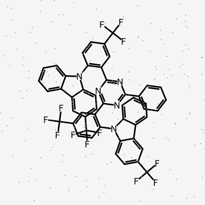 FC(F)(F)c1ccc(-n2c3ccccc3c3cc(C(F)(F)F)ccc32)c(-c2nc(-c3ccccc3)nc(-c3cc(C(F)(F)F)ccc3-n3c4ccccc4c4cc(C(F)(F)F)ccc43)n2)c1